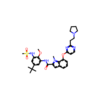 COc1c(NC(=O)c2cc3cccc(Oc4ccnc(CCN5CCCC5)n4)c3n2C)cc(C(C)(C)C)cc1NS(C)(=O)=O